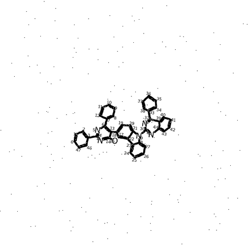 c1ccc(-c2nc(-c3ccccc3)c3c(n2)oc2c3ccc3c2c2ccccc2n3-c2nc(-c3ccccc3)c3ccccc3n2)cc1